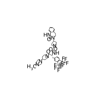 CN1CCN(C2CCN(C(=O)[C@@H](Cc3ccc(C(F)(F)C(F)(F)F)c(C(F)(F)C(F)(F)F)c3)NC(=O)ON3CCC(N4CCc5ccccc5NC4=O)CC3)CC2)CC1